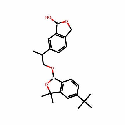 CC(COB1OC(C)(C)c2cc(C(C)(C)C)ccc21)c1ccc2c(c1)B(O)OC2